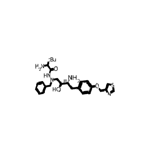 CC(C)(C)C(N)C(=O)NN(Cc1ccccc1)CC(O)[C@H](N)Cc1ccc(OCc2cscn2)cc1